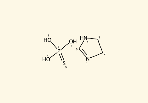 C1=NCCN1.OP(O)(O)=S